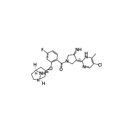 CC1=C(Cl)C=N/C(=C2\CN(C(=O)c3ccc(F)cc3O[C@H]3C[C@H]4CC[C@@H](C3)N4)CC2=N)N1